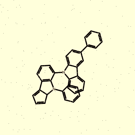 C1=CC2C(=C1)c1cccc(-n3c4ccccc4c4cc(-c5ccccc5)ccc43)c1N2c1ccccc1